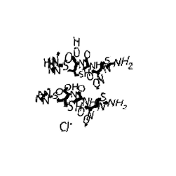 CO/N=C(\C(=O)N[C@@H]1C(=O)N2C(C(=O)O)=C(CSc3nnnn3C)CS[C@H]12)c1csc(N)n1.CO/N=C(\C(=O)N[C@@H]1C(=O)N2C(C(=O)O)=C(CSc3nnnn3C)CS[C@H]12)c1csc(N)n1.[Cl-].[H+]